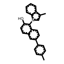 Cc1ccc(-c2ccc3c(-n4cc(C)c5ccccc54)c(O)ccc3c2)cc1